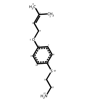 CC(C)=CCOc1ccc(SCCN)cc1